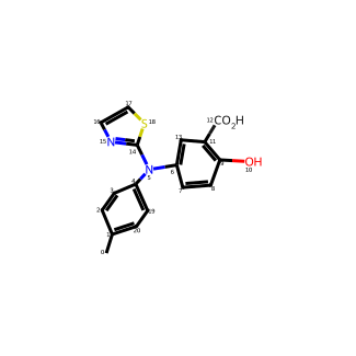 Cc1ccc(N(c2ccc(O)c(C(=O)O)c2)c2nccs2)cc1